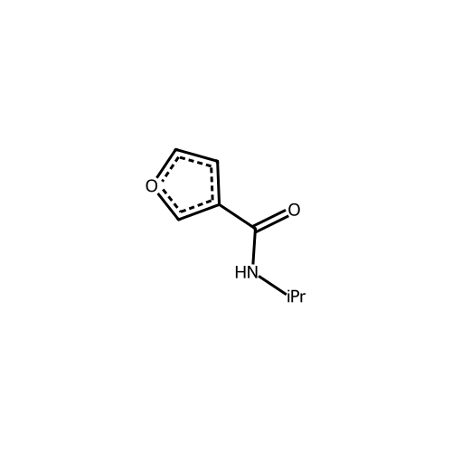 CC(C)NC(=O)c1ccoc1